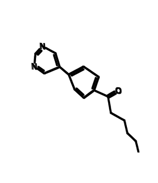 CCCCCC(=O)c1ccc(-c2cncnc2)cc1